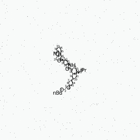 CCCCOCCOc1ccc(-c2ccc3c(c2)C=C(C(=O)Nc2ccc([S+]([O-])Cc4c(C)nc5ccccn45)cc2)CCN3CC(C)C)cc1